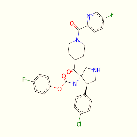 CN(C(=O)Oc1ccc(F)cc1)[C@]1(C(=O)C2CCN(C(=O)c3ccc(F)cn3)CC2)CNC[C@H]1c1ccc(Cl)cc1